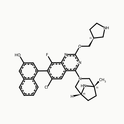 C[C@]12CC[C@H](CN(c3nc(OC[C@H]4CCNC4)nc4c(F)c(-c5cc(O)cc6ccccc56)c(Cl)cc34)C1)N2